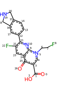 O=C(O)c1cn(CCF)c2nc(-c3ccc4c(c3)CNC4)c(F)cc2c1=O